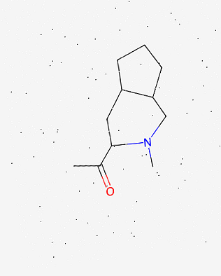 CC(=O)C1CC2CCCC2CN1C